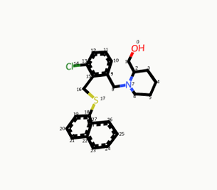 OCC1CCCCN1Cc1cccc(Cl)c1CSc1cccc2ccccc12